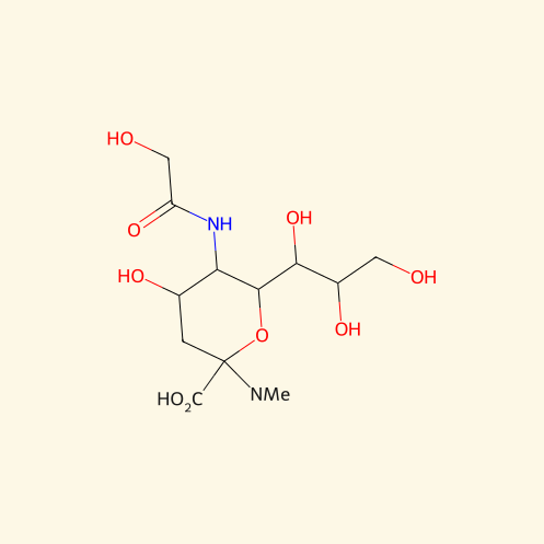 CNC1(C(=O)O)CC(O)C(NC(=O)CO)C(C(O)C(O)CO)O1